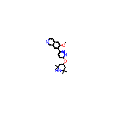 COc1cc2ccncc2cc1-c1ccc(OC2CC(C)(C)NC(C)(C)C2)nn1